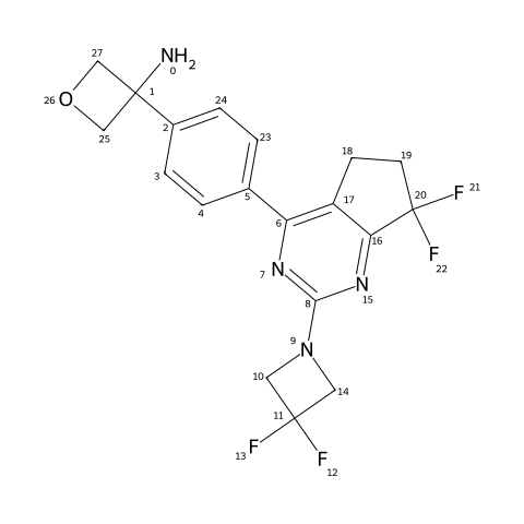 NC1(c2ccc(-c3nc(N4CC(F)(F)C4)nc4c3CCC4(F)F)cc2)COC1